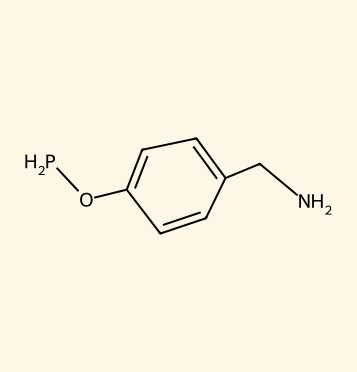 NCc1ccc(OP)cc1